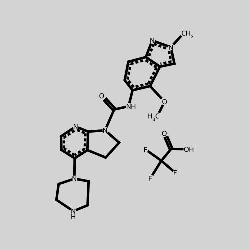 COc1c(NC(=O)N2CCc3c(N4CCNCC4)ccnc32)ccc2nn(C)cc12.O=C(O)C(F)(F)F